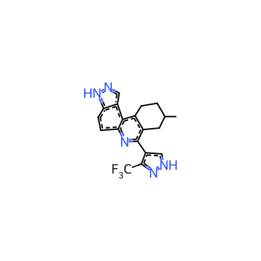 CC1CCc2c(c(-c3c[nH]nc3C(F)(F)F)nc3ccc4[nH]ncc4c23)C1